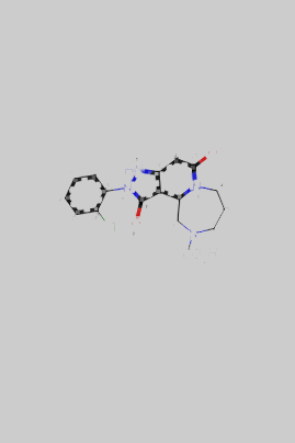 O=C(O)N1CCCn2c(c3c(=O)n(-c4ccccc4Cl)[nH]c3cc2=O)C1